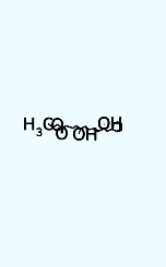 CCOC(=O)CCC[C@H](O)/C=C/C=C/[C@H](O)Cc1ccccc1